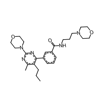 CCCc1c(C)nc(N2CCOCC2)nc1-c1cccc(C(=O)NCCCN2CCOCC2)c1